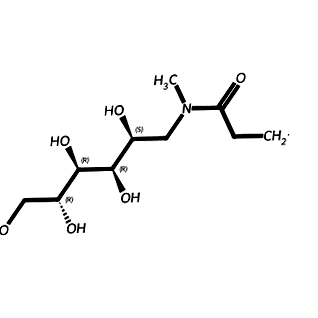 [CH2]CC(=O)N(C)C[C@H](O)[C@@H](O)[C@H](O)[C@H](O)CO